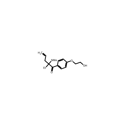 C=CCC(CC)(NC)C(=O)c1ccc(OCCO)cc1